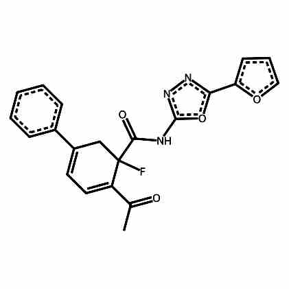 CC(=O)C1=CC=C(c2ccccc2)CC1(F)C(=O)Nc1nnc(-c2ccco2)o1